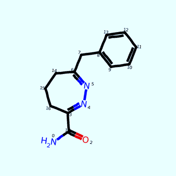 NC(=O)C1=NN=C(Cc2ccccc2)CCC1